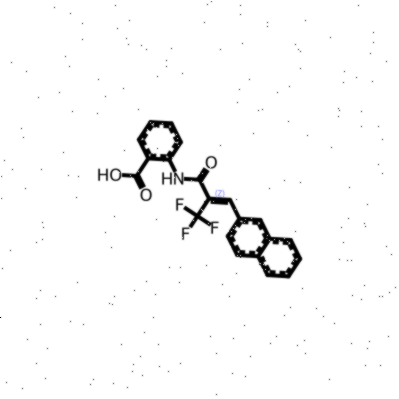 O=C(Nc1ccccc1C(=O)O)/C(=C/c1ccc2ccccc2c1)C(F)(F)F